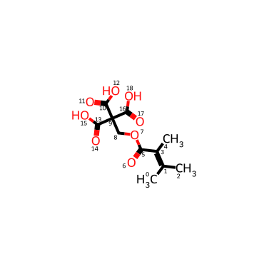 CC(C)=C(C)C(=O)OCC(C(=O)O)(C(=O)O)C(=O)O